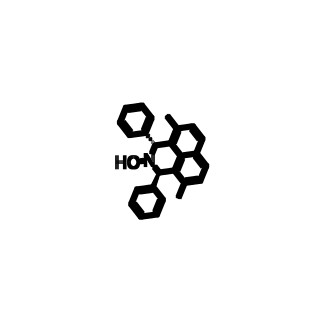 Cc1ccc2ccc(C)c3c2c1[C@@H](c1ccccc1)N(O)[C@@H]3c1ccccc1